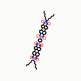 CCCCCCC(CCCCCC)N1C(=O)c2ccc3c4ccc5c6c(ccc(c7ccc(c2c37)C1=O)c64)C(=O)N(c1ccc(N2C(=O)c3ccc4c6ccc7c8c(ccc(c9ccc(c3c49)C2=O)c86)C(=O)N(C(CCCCCC)CCCCCC)C7=O)cc1)C5=O